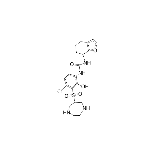 O=C(Nc1ccc(Cl)c(S(=O)(=O)C2CNCCNC2)c1O)NC1CCCc2ccoc21